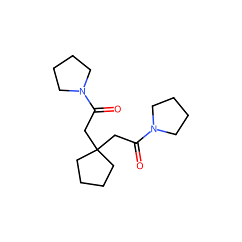 O=C(CC1(CC(=O)N2CCCC2)CCCC1)N1CCCC1